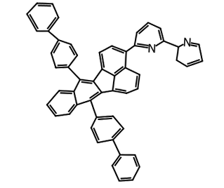 C1=CCC(c2cccc(-c3ccc4c5c(cccc35)-c3c-4c(-c4ccc(-c5ccccc5)cc4)c4ccccc4c3-c3ccc(-c4ccccc4)cc3)n2)N=C1